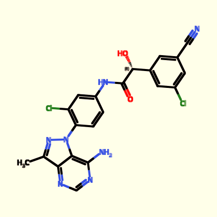 Cc1nn(-c2ccc(NC(=O)[C@H](O)c3cc(Cl)cc(C#N)c3)cc2Cl)c2c(N)ncnc12